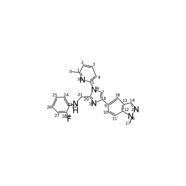 Cc1cccc(-n2cc(-c3ccc4c(cnn4C)c3)nc2CNc2ccccc2F)n1